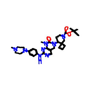 CN1CCN(c2ccc(Nc3ncc4c(n3)N(C)C(=O)N(C3CCN(C(=O)OC(C)(C)C)CC35CCC5)C4)cc2)CC1